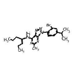 CCCC(CCC)Nc1nc(C)nc2c1nnn2-c1ccc(C(C)C)cc1Br